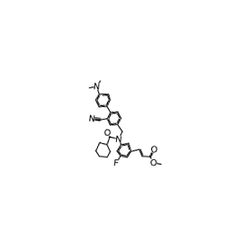 COC(=O)/C=C/c1cc(F)cc(N(Cc2ccc(-c3ccc(N(C)C)cc3)c(C#N)c2)C(=O)C2CCCCC2)c1